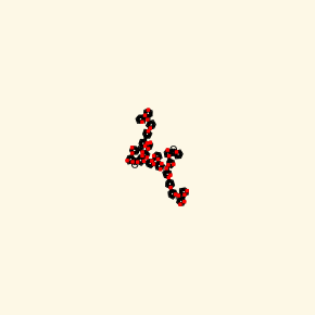 c1ccc(-c2ccccc2N(c2ccc(-c3ccc(-c4cccc(-n5c6ccccc6c6ccccc65)c4)cc3)cc2)c2cccc(-c3cccc4oc5cc(-c6ccc7c8ccc(N(c9ccc(-c%10ccc(-c%11cccc(-n%12c%13ccccc%13c%13ccccc%13%12)c%11)cc%10)cc9)c9cccc(-c%10cccc%11oc%12ccccc%12c%10%11)c9)cc8c8ccccc8c7c6)ccc5c34)c2)cc1